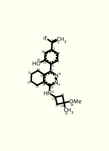 C=C(F)c1ccc(-c2nnc(NC3CC(C)(OC)C3)c3c2CCCC3)c(O)c1